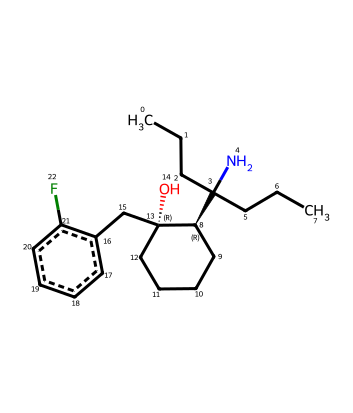 CCCC(N)(CCC)[C@H]1CCCC[C@@]1(O)Cc1ccccc1F